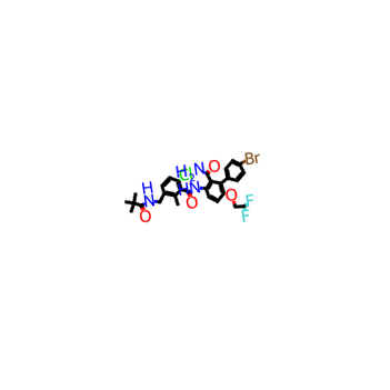 Cc1c(CNC(=O)C(C)(C)C)ccc(Cl)c1C(=O)Nc1ccc(OCC(F)F)c(-c2ccc(Br)cc2)c1C(N)=O